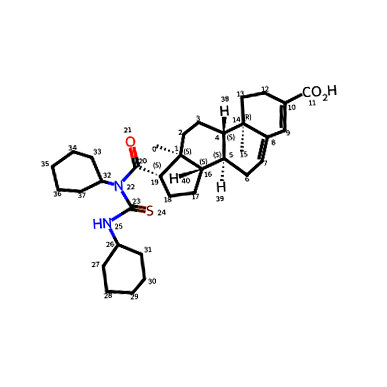 C[C@]12CC[C@H]3[C@@H](CC=C4C=C(C(=O)O)CC[C@@]43C)[C@@H]1CC[C@@H]2C(=O)N(C(=S)NC1CCCCC1)C1CCCCC1